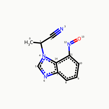 CC(C#N)n1cnc2cccc(N=O)c21